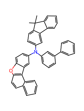 CC1(C)c2ccccc2-c2cc(N(c3cccc(-c4ccccc4)c3)c3ccc4oc5ccc6ccccc6c5c4c3)ccc21